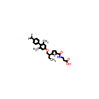 CCC(COc1cc(C)c(-c2ccc(C(F)F)cc2)c(C)c1)c1ccc(C(=O)NCCC(=O)O)s1